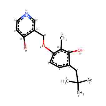 CC(=O)C(C)(C)Cc1ccc(OCc2cnccc2Br)c(C)c1O